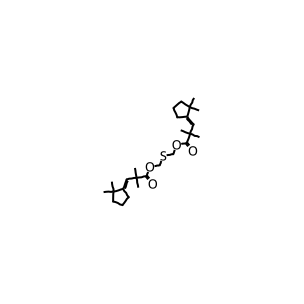 CC(C)(C=C1CCCC1(C)C)C(=O)OCSCOC(=O)C(C)(C)C=C1CCCC1(C)C